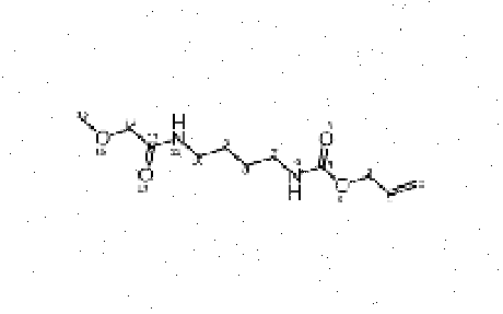 C=CCOC(=O)NCCCCNC(=O)COC